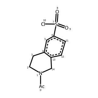 CC(=O)N1CCc2cc(S(=O)(=O)Cl)ccc2C1